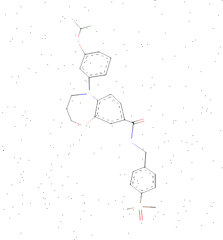 C[SH](C)(=O)c1ccc(CNC(=O)c2ccc3c(c2)OCCCN3c2cccc(OC(F)F)c2)cc1